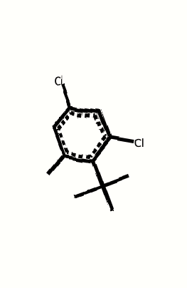 Cc1cc(Cl)cc(Cl)c1C(C)(C)C